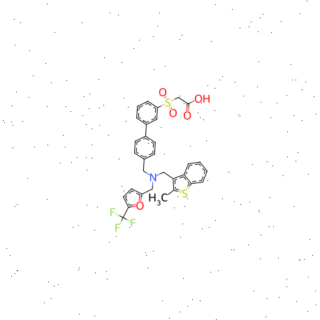 Cc1sc2ccccc2c1CN(Cc1ccc(-c2cccc(S(=O)(=O)CC(=O)O)c2)cc1)Cc1ccc(C(F)(F)F)o1